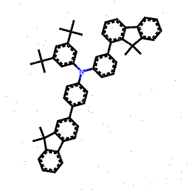 CC(C)(C)c1cc(N(c2ccc(-c3ccc4c(c3)C(C)(C)c3ccccc3-4)cc2)c2cccc(-c3cccc4c3C(C)(C)c3ccccc3-4)c2)cc(C(C)(C)C)c1